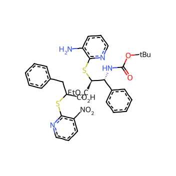 CCOC(=O)[C@@H](Sc1ncccc1N)[C@H](NC(=O)OC(C)(C)C)c1ccccc1.O=C(O)C(Cc1ccccc1)Sc1ncccc1[N+](=O)[O-]